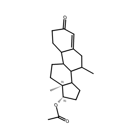 CC(=O)O[C@H]1CCC2C3C(C)CC4=CC(=O)CCC4C3CC[C@@]21C